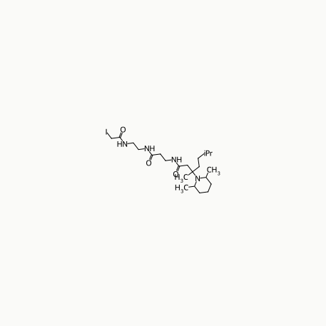 CC(C)CCC(C)(CC(=O)NCCC(=O)NCCNC(=O)CI)N1C(C)CCCC1C